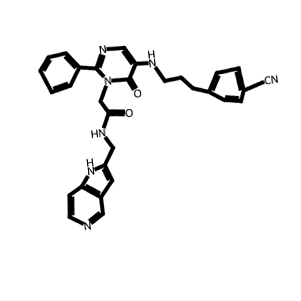 N#Cc1ccc(CCCNc2cnc(-c3ccccc3)n(CC(=O)NCc3cc4cnccc4[nH]3)c2=O)cc1